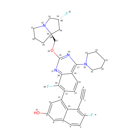 C#Cc1c(F)ccc2cc(O)cc(-c3ccc4c(N5CCCCC5)nc(OC[C@@]56CCCN5C[C@H](F)C6)nc4c3F)c12